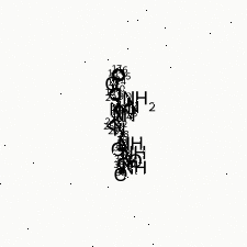 Nc1ncnc2c1c(-c1ccc(Oc3ccccc3)cc1)nn2C1CCCN(CCNC(=O)NC2CCC(=O)NC2=O)C1